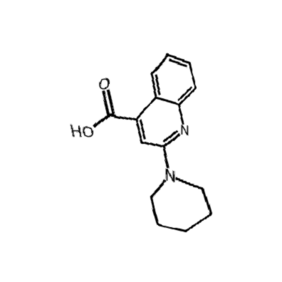 O=C(O)c1cc(N2CCCCC2)nc2ccccc12